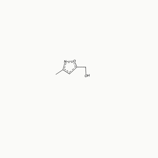 Cc1cc(CO)on1